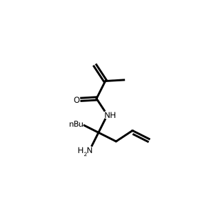 C=CCC(N)(CCCC)NC(=O)C(=C)C